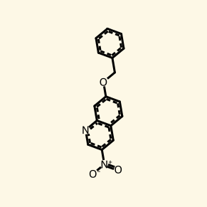 O=[N+]([O-])c1cnc2cc(OCc3ccccc3)ccc2c1